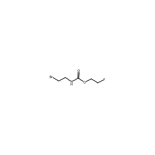 O=C(NCCBr)OCCF